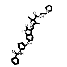 Cc1[nH]c(C=C2C(=O)Nc3cc(Nc4cccc(NC(=O)c5ccccc5)c4)ccc32)c(C)c1C(=O)NCCN1CCCC1